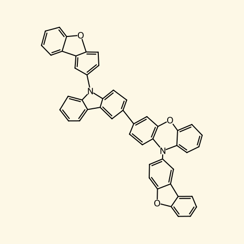 c1ccc2c(c1)Oc1cc(-c3ccc4c(c3)c3ccccc3n4-c3ccc4oc5ccccc5c4c3)ccc1N2c1ccc2oc3ccccc3c2c1